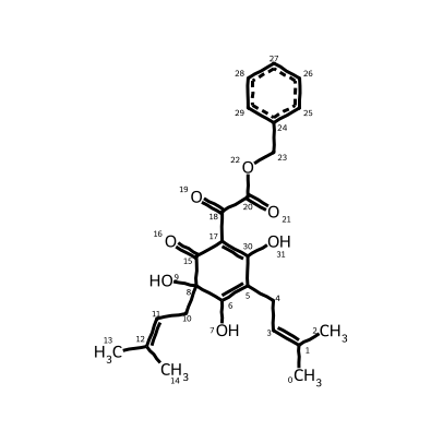 CC(C)=CCC1=C(O)C(O)(CC=C(C)C)C(=O)C(C(=O)C(=O)OCc2ccccc2)=C1O